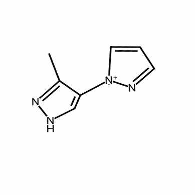 Cc1n[nH]cc1[N+]1C=CC=N1